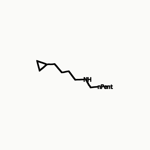 CCCCCCNCCCCC1CC1